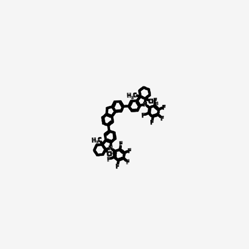 CC12CCCCC1(C)N(c1c(F)c(F)c(F)c(F)c1F)c1ccc(-c3ccc4c(c3)-c3cc(-c5ccc6c(c5)C5(C)CCCCC5(C)N6c5c(F)c(F)c(F)c(F)c5F)ccc3C4)cc12